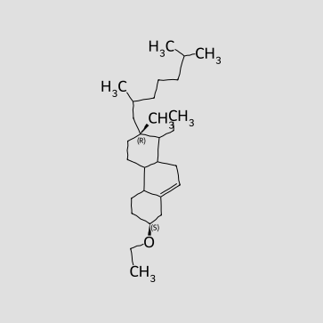 CCO[C@H]1CCC2C(=CCC3C2CC[C@](C)(CC(C)CCCC(C)C)C3CC)C1